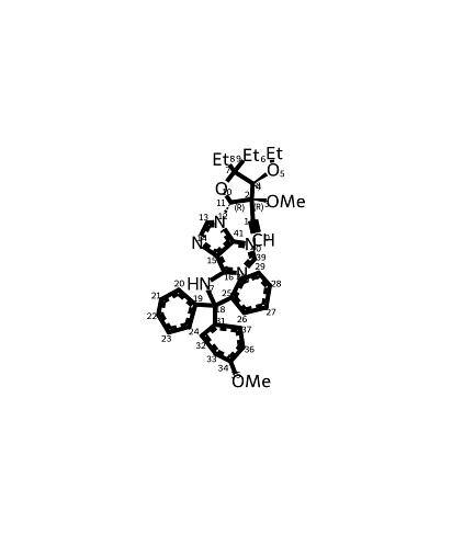 C#C[C@@]1(OC)[C@H](OCC)C(CC)(CC)O[C@H]1n1cnc2c(NC(c3ccccc3)(c3ccccc3)c3ccc(OC)cc3)ncnc21